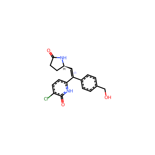 O=C1CC[C@H](/C=C(/c2ccc(CO)cc2)c2ccc(Cl)c(=O)[nH]2)N1